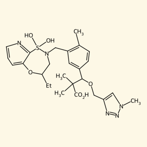 CCC1CN(Cc2cc(C(OCc3cn(C)nn3)C(C)(C)C(=O)O)ccc2C)S(O)(O)c2ncccc2O1